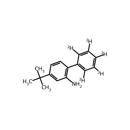 [2H]c1c([2H])c([2H])c(-c2ccc(C(C)(C)C)cc2N)c([2H])c1[2H]